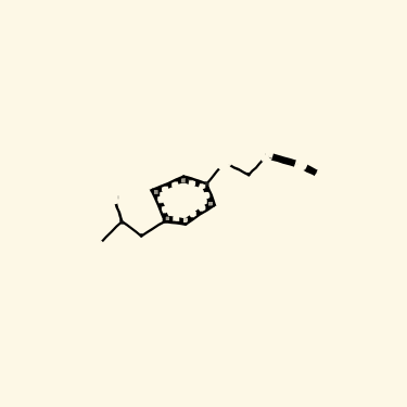 C[C](O)Cc1ccc(OCN=C=O)cc1